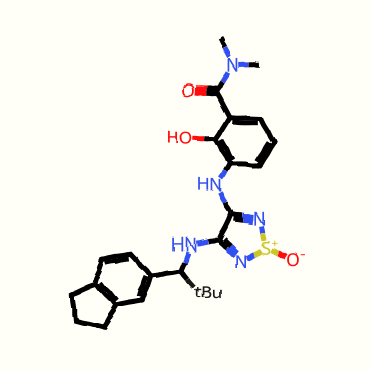 CN(C)C(=O)c1cccc(Nc2n[s+]([O-])nc2NC(c2ccc3c(c2)CCC3)C(C)(C)C)c1O